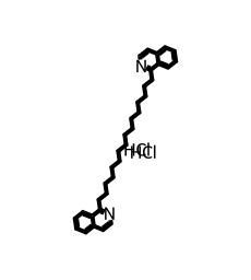 Cl.Cl.c1ccc2c(CCCCCCCCCCCCCCCCc3nccc4ccccc34)nccc2c1